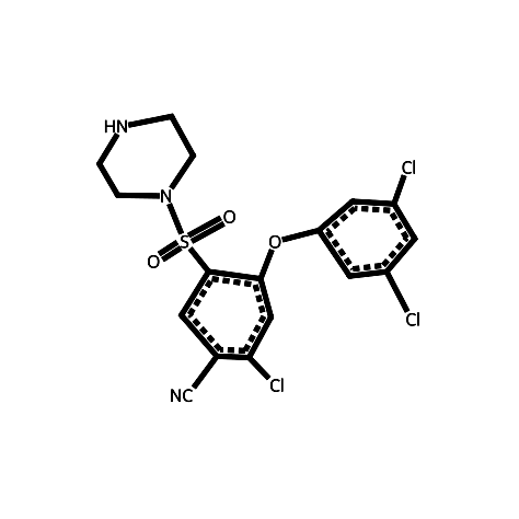 N#Cc1cc(S(=O)(=O)N2CCNCC2)c(Oc2cc(Cl)cc(Cl)c2)cc1Cl